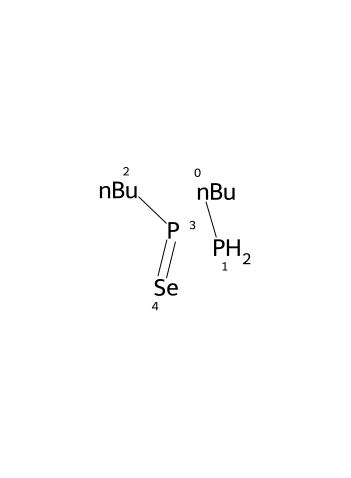 CCCCP.CCCCP=[Se]